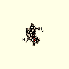 C[C@H](c1cc(F)cnc1N)N1CCOc2c(C(F)(F)F)c(-c3ccc(F)c4sc(N)c(C#N)c34)c(F)c3nc(OC[C@@]45CCCN4C[C@H](F)C5)nc1c23